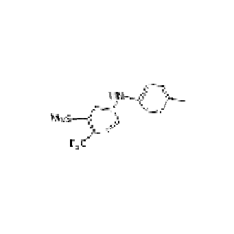 CSc1cc(Nc2ccc(C)cc2)ccc1C(F)(F)F